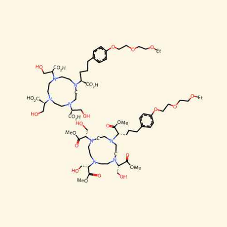 CCOCCOCCOc1ccc(CCC[C@@H](C(=O)O)N2CCN([C@@H](CO)C(=O)O)CCN([C@@H](CO)C(=O)O)CCN([C@@H](CO)C(=O)O)CC2)cc1.CCOCCOCCOc1ccc(CCC[C@@H](C(=O)OC)N2CCN([C@@H](CO)C(=O)OC)CCN([C@@H](CO)C(=O)OC)CCN([C@@H](CO)C(=O)OC)CC2)cc1